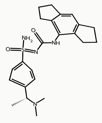 C[C@H](c1ccc(S(N)(=O)=NC(=O)Nc2c3c(cc4c2CCC4)CCC3)cc1)N(C)C